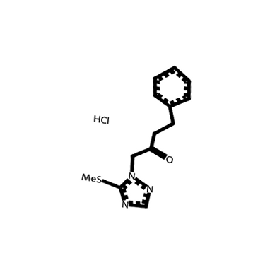 CSc1ncnn1CC(=O)CCc1ccccc1.Cl